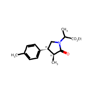 CCOC(=O)C(C)N1C[C@@H](c2ccc(C)cc2)[C@H](C)C1=O